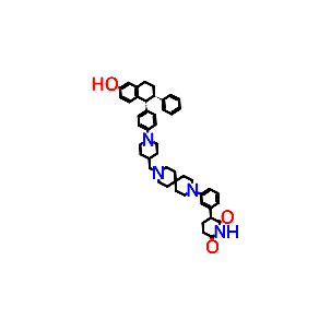 O=C1CCC(c2cccc(N3CCC4(CCN(CC5CCN(c6ccc([C@@H]7c8ccc(O)cc8CC[C@@H]7c7ccccc7)cc6)CC5)CC4)CC3)c2)C(=O)N1